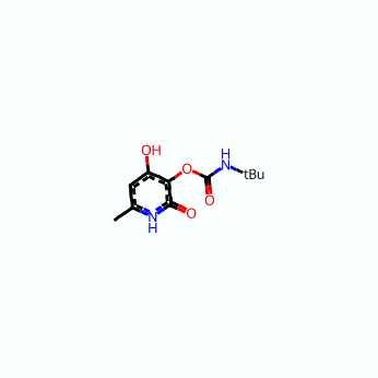 Cc1cc(O)c(OC(=O)NC(C)(C)C)c(=O)[nH]1